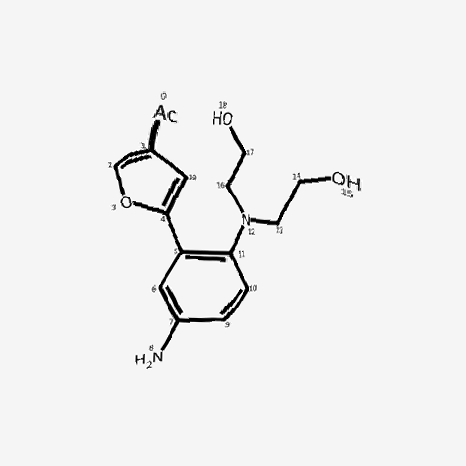 CC(=O)c1coc(-c2cc(N)ccc2N(CCO)CCO)c1